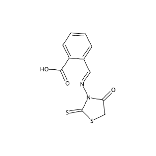 O=C(O)c1ccccc1C=NN1C(=O)CSC1=S